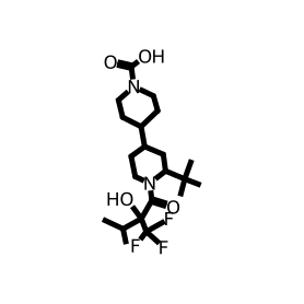 CC(C)C(O)(C(=O)N1CCC(C2CCN(C(=O)O)CC2)CC1C(C)(C)C)C(F)(F)F